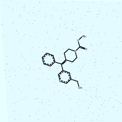 CC(C)(C)OC(=O)N1CCC(=C(c2ccccc2)c2cncc(CO)c2)CC1